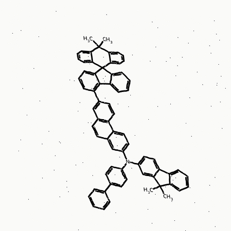 CC1(C)c2ccccc2-c2ccc(N(c3ccc(-c4ccccc4)cc3)c3ccc4c(ccc5cc(-c6cccc7c6-c6ccccc6C76c7ccccc7C(C)(C)c7ccccc76)ccc54)c3)cc21